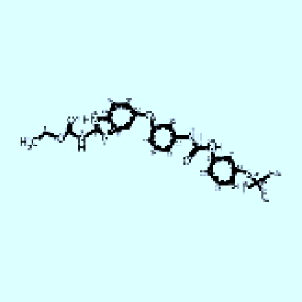 CCOC(=O)Nc1nc2cc(Oc3cccc(NC(=O)Nc4cccc(SC(F)(F)F)c4)c3)ccc2[nH]1